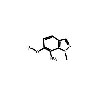 Cn1ncc2ccc(OC(F)(F)F)c([N+](=O)[O-])c21